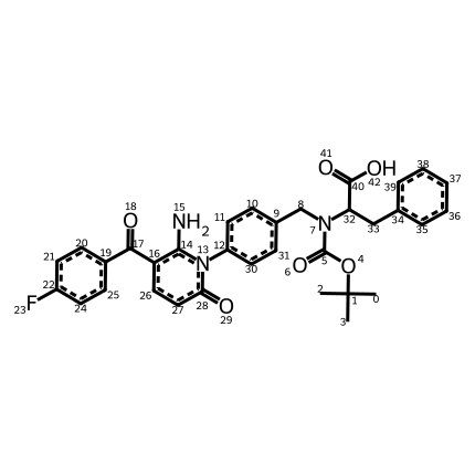 CC(C)(C)OC(=O)N(Cc1ccc(-n2c(N)c(C(=O)c3ccc(F)cc3)ccc2=O)cc1)C(Cc1ccccc1)C(=O)O